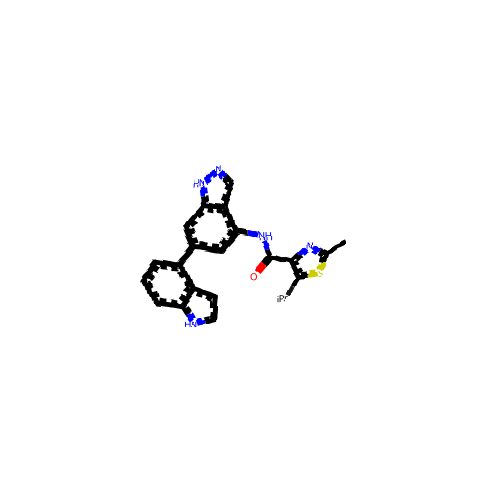 Cc1nc(C(=O)Nc2cc(-c3cccc4[nH]ccc34)cc3[nH]ncc23)c(C(C)C)s1